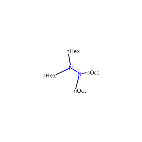 CCCCCCCCN(CCCCCCCC)N(CCCCCC)CCCCCC